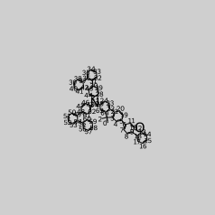 CC1(C)c2cc(-c3ccc4c(c3)oc3ccccc34)ccc2-c2ccc(N(c3ccc(-c4ccccc4-c4ccccc4)cc3)c3ccc(-c4ccccc4-c4ccccc4)cc3)cc21